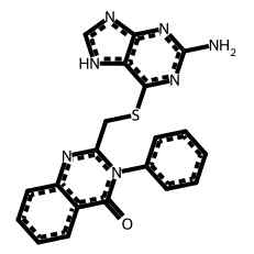 Nc1nc(SCc2nc3ccccc3c(=O)n2-c2ccccc2)c2[nH]cnc2n1